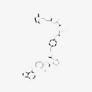 CC(C)[C@H](NC(=O)CCN1C(=O)C=CC1=O)C(=O)N[C@@H](C)C(=O)Nc1ccc(COC(=O)N2CCC[C@H]2C(=O)N[C@@H]2[C@@H](O)[C@H](O)[C@@H](Nc3ncnc4nc[nH]c34)O[C@H]2CO)cc1